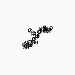 COC(=O)N[C@H](C(=O)N1CCC[C@H]1c1nc2ccc([C@H]3CC[C@H](c4ccc5nc([C@@H]6CCCN6C(=O)[C@@H](NC(=O)O)C(C)C)[nH]c5c4)N3c3ccc(N4CCCCC4)nc3)cc2[nH]1)C(C)C